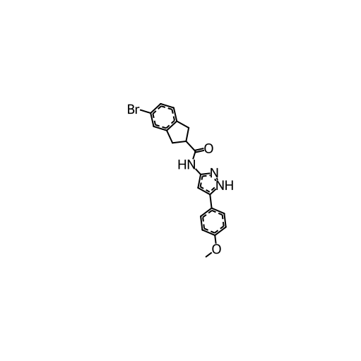 COc1ccc(-c2cc(NC(=O)C3Cc4ccc(Br)cc4C3)n[nH]2)cc1